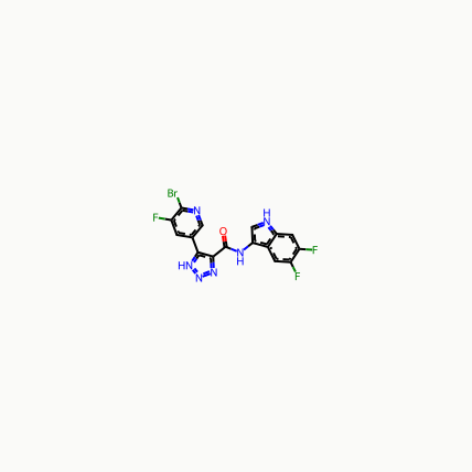 O=C(Nc1c[nH]c2cc(F)c(F)cc12)c1nn[nH]c1-c1cnc(Br)c(F)c1